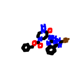 O=C1NCCN(C(=O)OCc2ccccc2)C[C@H]1Nc1nc2ccccc2c2nc(Br)nn12